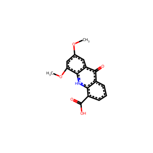 COc1cc(OC)c2[nH]c3c(C(=O)O)cccc3c(=O)c2c1